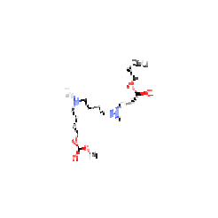 CCN(CCCCOC(=O)OC(C)C)CCCCN(C)CCC(=O)OCCC(C)(C)C